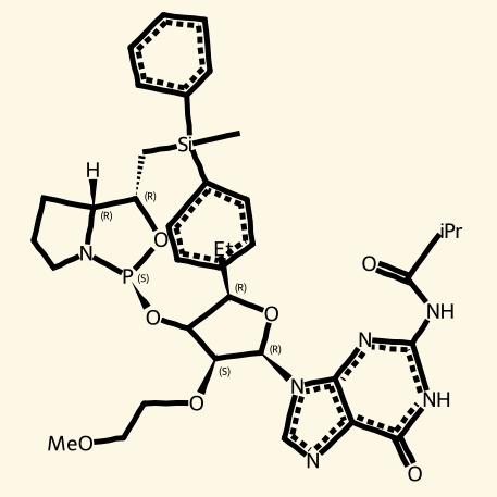 CC[C@H]1O[C@@H](n2cnc3c(=O)[nH]c(NC(=O)C(C)C)nc32)[C@@H](OCCOC)C1O[P@]1O[C@@H](C[Si](C)(c2ccccc2)c2ccccc2)[C@H]2CCCN21